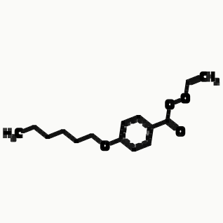 C=COOC(=O)c1ccc(OCCCCCC)cc1